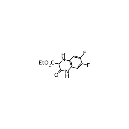 CCOC(=O)C1Nc2cc(F)c(F)cc2NC1=O